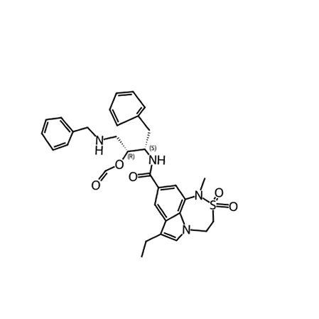 CCc1cn2c3c(cc(C(=O)N[C@@H](Cc4ccccc4)[C@@H](CNCc4ccccc4)OC=O)cc13)N(C)S(=O)(=O)CC2